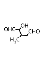 CC(CC=O)C(O)C=O